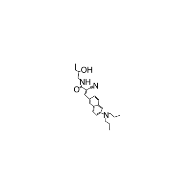 CCCN(CCC)c1ccc2cc(/C=C(\C#N)C(=O)NCC(O)CC)ccc2c1